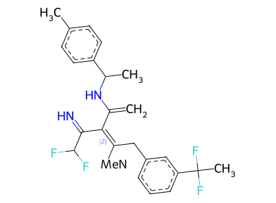 C=C(NC(C)c1ccc(C)cc1)/C(C(=N)C(F)F)=C(\Cc1cccc(C(C)(F)F)c1)NC